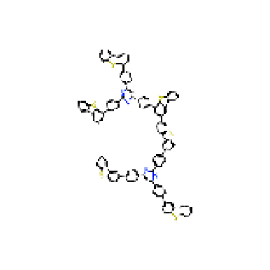 c1ccc2c(c1)sc1ccc(-c3ccc(-c4cc(-c5ccc(-c6ccc7sc8ccccc8c7c6)cc5)nc(-c5ccc(-c6ccc7sc8cc(-c9cc(-c%10ccc(-c%11cc(-c%12ccc(-c%13cccc%14c%13sc%13ccccc%13%14)cc%12)nc(-c%12ccc(-c%13cccc%14c%13sc%13ccccc%13%14)cc%12)n%11)cc%10)c%10sc%11ccccc%11c%10c9)ccc8c7c6)cc5)n4)cc3)cc12